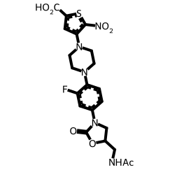 CC(=O)NCC1CN(c2ccc(N3CCN(c4cc(C(=O)O)sc4[N+](=O)[O-])CC3)c(F)c2)C(=O)O1